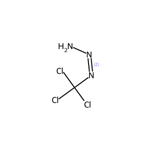 N/N=N\C(Cl)(Cl)Cl